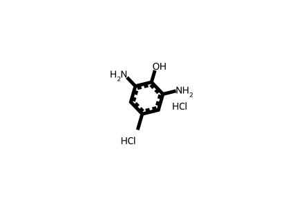 Cc1cc(N)c(O)c(N)c1.Cl.Cl